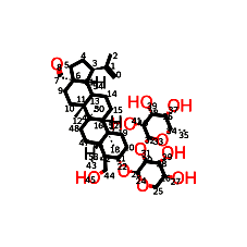 C=C(C)[C@@H]1CC[C@]2(C=O)CC[C@]3(C)C(CC[C@@H]4[C@@]5(C)CC[C@H](O[C@@H]6OC[C@H](O)[C@H](O)C6O[C@@H]6O[C@@H](C)[C@H](O)[C@@H](O)[C@H]6O)[C@@](C)(CO)[C@@H]5CC[C@]43C)[C@@H]12